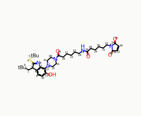 CC(C)(C)CC1C(SC(C)(C)C)=Nc2c1ccc(O)c2N1CCN(C(=O)CCCCCNC(=O)CCCCCN2C(=O)C=CC2=O)CC1